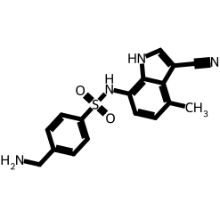 Cc1ccc(NS(=O)(=O)c2ccc(CN)cc2)c2[nH]cc(C#N)c12